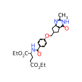 CCOC(=O)CC[C@H](NC(=O)c1ccc(OCC2Cc3nc(C)[nH]c(=O)c3C2)cc1)C(=O)OCC